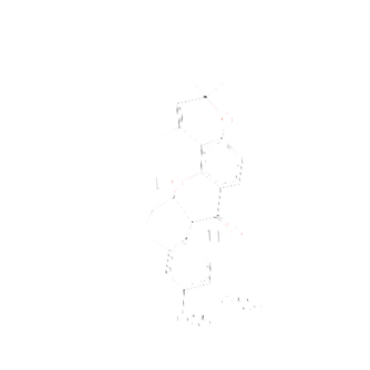 COc1cc2c(cc1OC)[C@@H]1C(=O)c3ccc4c(c3O[C@@H]1CO2)C(F)=CC(C)(C)O4